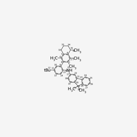 Cc1c(C)c2c(c(C)c1-c1cc(C(C)(C)C)ccc1Nc1ccc3c(c1)-c1ccccc1C3(C)C)CCCC2C